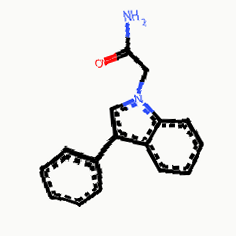 NC(=O)Cn1cc(-c2ccccc2)c2ccccc21